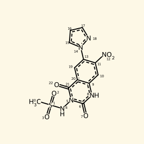 CS(=O)(=O)Nn1c(=O)[nH]c2cc([N+](=O)[O-])c(-n3cccn3)cc2c1=O